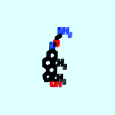 C[C@]12CCC(=NOCCN)C=C1CCC1C2CC[C@@]2(C)C1CC[C@H]2O